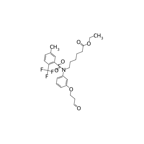 CCOC(=O)CCCCCN(c1cccc(OCCC=O)c1)S(=O)(=O)c1cc(C)ccc1C(F)(F)F